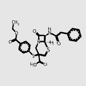 CCOC(=O)c1ccc(SC2(C(=O)O)CS[C@@H]3[C@H](NC(=O)Cc4ccccc4)C(=O)N3C2)cc1